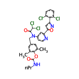 CCCNC(=O)Oc1c(C)cc(CN(C(=O)C(Cl)Cl)c2ccnc(-c3cc(-c4c(Cl)cccc4Cl)no3)c2)cc1C